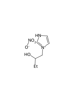 CCC(O)C[n+]1cc[nH]c1.O=[N+]([O-])[O-]